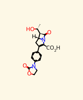 C[C@@H](O)[C@H]1C(=O)N2C(C(=O)O)=C(c3ccc(N4CCOC4=O)cc3)C[C@H]12